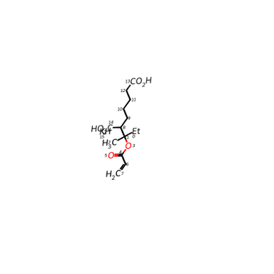 [CH2]CC(C)(OC(=O)C=C)C(CCCCC(=O)O)C(=O)O.[KH]